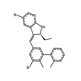 CC[C@@H]1Nc2ncc(Br)cc2/C1=C/c1cc(Br)c(C)c(-c2ccccc2C)c1